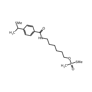 CSC(C)c1ccc(C(=O)NCCCCCCOP(C)(=O)SC)cc1